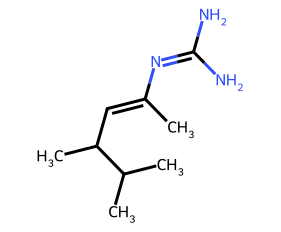 C/C(=C\C(C)C(C)C)N=C(N)N